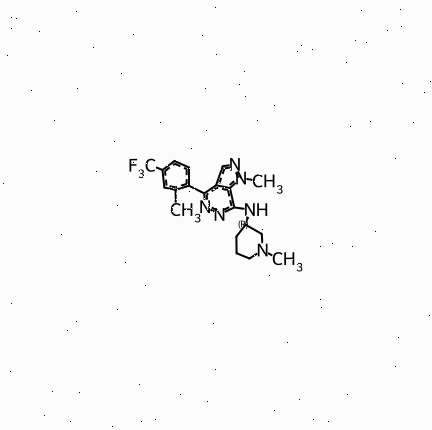 Cc1cc(C(F)(F)F)ccc1-c1nnc(N[C@@H]2CCCN(C)C2)c2c1cnn2C